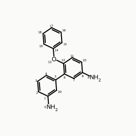 Nc1cccc(-c2cc(N)ccc2Oc2ccccc2)c1